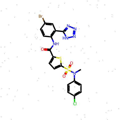 CN(c1ccc(Cl)cc1)S(=O)(=O)c1ccc(C(=O)Nc2ccc(Br)cc2-c2nnn[nH]2)s1